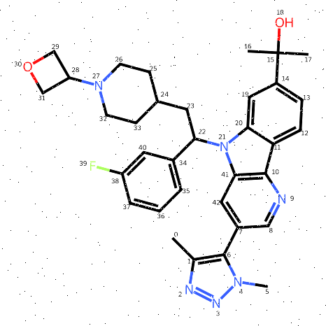 Cc1nnn(C)c1-c1cnc2c3ccc(C(C)(C)O)cc3n(C(CC3CCN(C4COC4)CC3)c3cccc(F)c3)c2c1